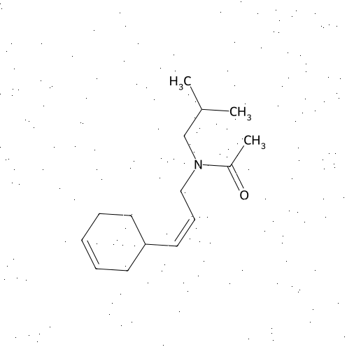 CC(=O)N(C/C=C\C1CC=CCC1)CC(C)C